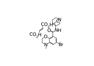 CN1CCOc2c(C(=O)NC3CN4CCC3CC4)cc(Br)cc21.O=C(O)/C=C/C(=O)O